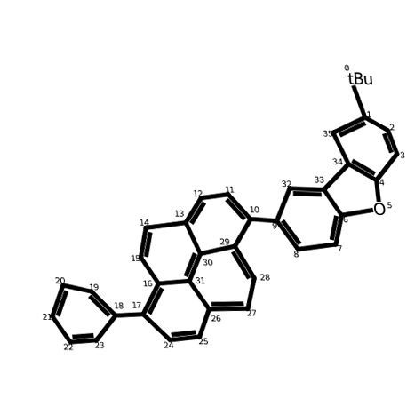 CC(C)(C)c1ccc2oc3ccc(-c4ccc5ccc6c(-c7ccccc7)ccc7ccc4c5c76)cc3c2c1